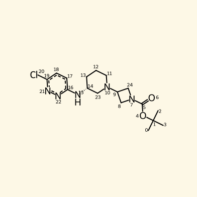 CC(C)(C)OC(=O)N1CC(N2CCC[C@@H](Nc3ccc(Cl)nn3)C2)C1